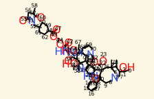 CC[C@]1(O)C[C@@H]2CN(CCC3=C(NC4C=CC=CC34)[C@@](C(=O)OC)(c3cc4c(cc3OC)N(C)[C@H]3[C@@](O)(C(=O)NNC(=O)OCOC(=O)C5CCC(CN6C(=O)CC(C)C6=O)CC5)[C@H](O)[C@]5(CC)C=CCN6CC[C@]43[C@@H]65)C2)C1